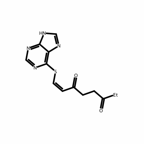 CCC(=O)CCC(=O)/C=C\Sc1ncnc2[nH]cnc12